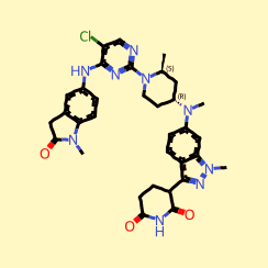 C[C@H]1C[C@H](N(C)c2ccc3c(C4CCC(=O)NC4=O)nn(C)c3c2)CCN1c1ncc(Cl)c(Nc2ccc3c(c2)CC(=O)N3C)n1